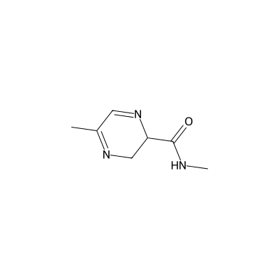 CNC(=O)C1CN=C(C)C=N1